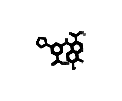 COC(=O)c1cc(Nc2c(C(N)=O)cnc3c(F)c(Br)ccc23)cc(C2CCCC2)c1